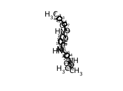 Cc1ccc(-c2ccc(C(=O)N[C@@H](C=O)Cc3ccc(-c4cc(-c5ccc(NC(=O)OC(C)C)cc5)[nH]n4)c(F)c3)o2)cc1